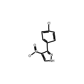 O=[N+]([O-])c1c[nH]nc1-c1ccc(Cl)cc1